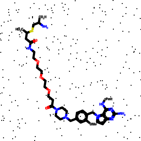 CCCCCNc1nc(N)nc2ccn(Cc3ccc(CN4CCN(C(=O)CCOCCOCCOCCNC(=O)CC(SCC(N)C(=O)O)C(=O)O)CC4)cc3OC)c12